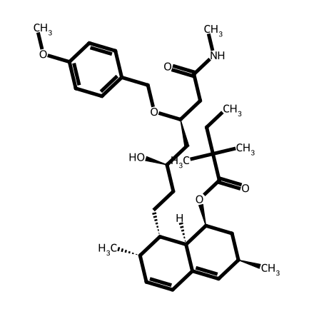 CCC(C)(C)C(=O)O[C@H]1C[C@@H](C)C=C2C=C[C@H](C)[C@H](CC[C@@H](O)C[C@H](CC(=O)NC)OCc3ccc(OC)cc3)[C@H]21